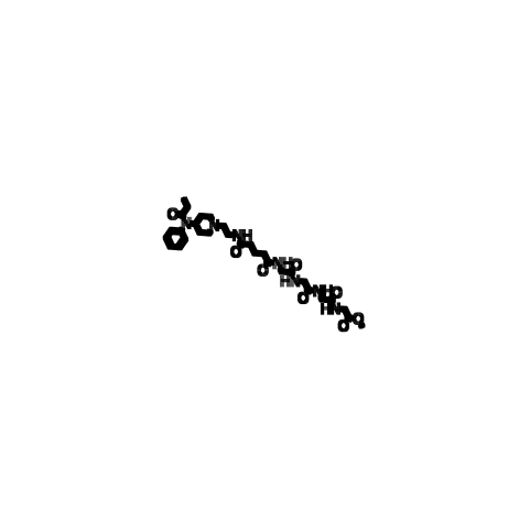 CCC(=O)N(c1ccccc1)C1CCN(CCNC(=O)CCCC(=O)NCC(=O)NCC(=O)NCC(=O)NCC(=O)OC)CC1